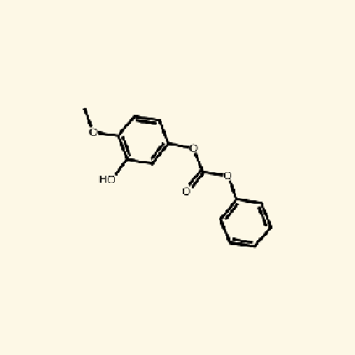 COc1ccc(OC(=O)Oc2ccccc2)cc1O